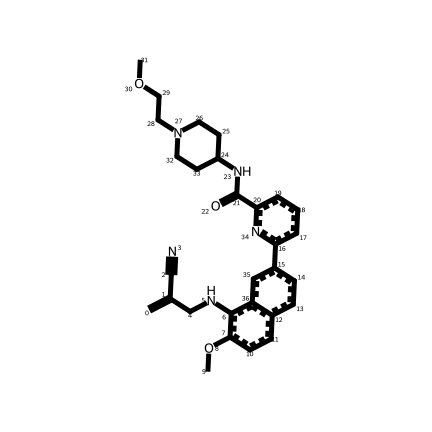 C=C(C#N)CNc1c(OC)ccc2ccc(-c3cccc(C(=O)NC4CCN(CCOC)CC4)n3)cc12